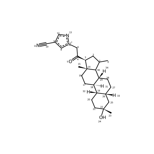 CC1C[C@H](C(=O)Cn2cc(C#N)cn2)[C@@]2(C)CC[C@@H]3[C@H]4CC[C@@](C)(O)C[C@H]4CC[C@H]3C12